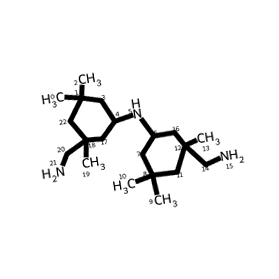 CC1(C)CC(NC2CC(C)(C)CC(C)(CN)C2)CC(C)(CN)C1